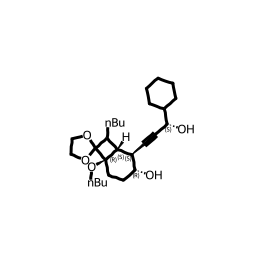 CCCCO[C@]12CC[C@@H](O)[C@H](C#C[C@@H](O)C3CCCCC3)[C@H]1C(CCCC)C21OCCO1